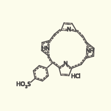 Cl.O=S(=O)(O)c1ccc(-c2c3nc(cc4ccc(cc5nc(cc6ccc2[nH]6)C=C5)[nH]4)C=C3)cc1